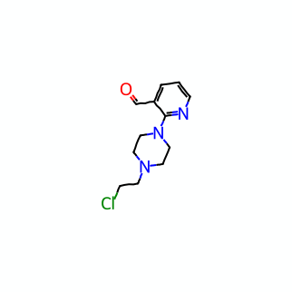 O=Cc1cccnc1N1CCN(CCCl)CC1